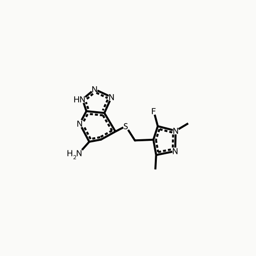 Cc1nn(C)c(F)c1CSc1cc(N)nc2[nH]nnc12